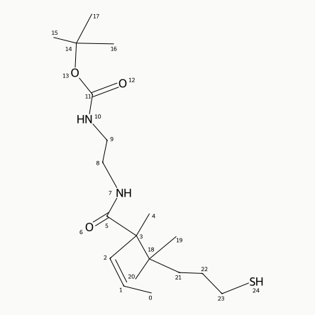 C/C=C\C(C)(C(=O)NCCNC(=O)OC(C)(C)C)C(C)(C)CCCS